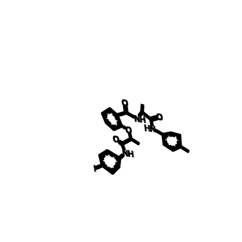 Cc1ccc(NC(=O)C(C)NC(=O)c2ccccc2OC(C)C(=O)Nc2ccc(I)cc2)cc1